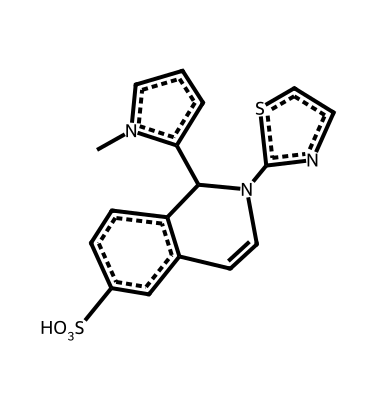 Cn1cccc1C1c2ccc(S(=O)(=O)O)cc2C=CN1c1nccs1